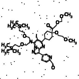 COCCOC1(C(=O)COCOC)CCC(c2nc3c(-c4ccc(C=O)nc4)cnn3c(N(COCC[Si](C)(C)C)COCC[Si](C)(C)C)c2I)CC1